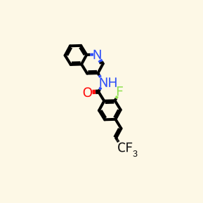 O=C(Nc1cnc2ccccc2c1)c1ccc(/C=C/C(F)(F)F)cc1F